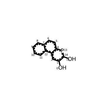 Oc1cc2c(ccc3ccccc32)pc1O